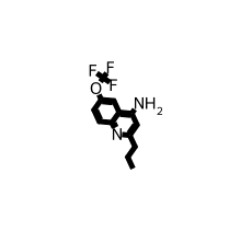 CCCc1cc(N)c2cc(OC(F)(F)F)ccc2n1